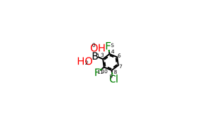 OB(O)c1c(F)ccc(Cl)c1F